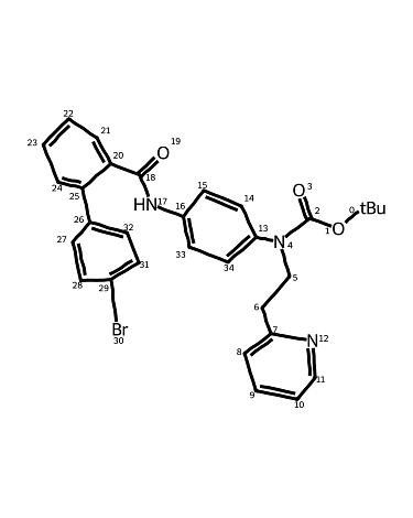 CC(C)(C)OC(=O)N(CCc1ccccn1)c1ccc(NC(=O)c2ccccc2-c2ccc(Br)cc2)cc1